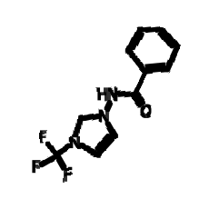 O=C(NN1C=CN(C(F)(F)F)C1)c1ccccc1